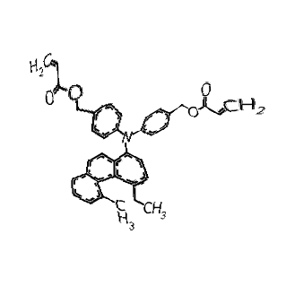 C=CC(=O)OCc1ccc(N(c2ccc(COC(=O)C=C)cc2)c2ccc(CC)c3c2ccc2cccc(C)c23)cc1